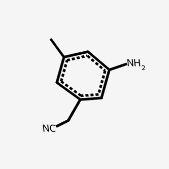 Cc1cc(N)cc(CC#N)c1